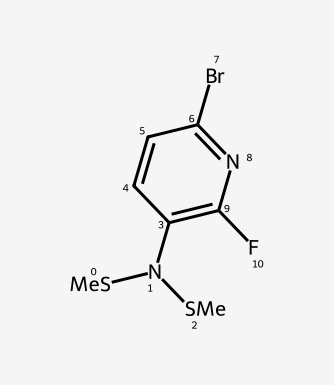 CSN(SC)c1ccc(Br)nc1F